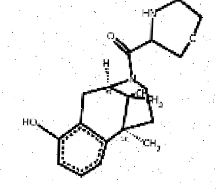 CC1(C)[C@H]2Cc3c(O)cccc3[C@]1(C)CCN2C(=O)C1CCCCN1